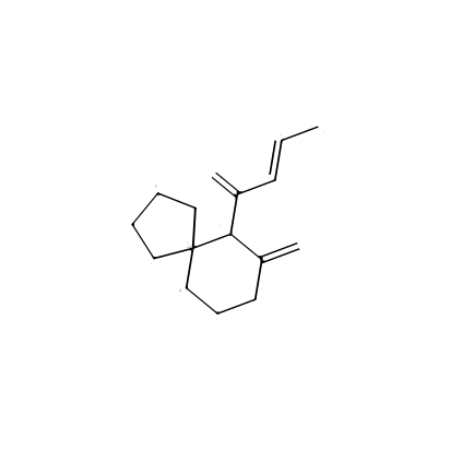 C=C1CCCC2(CCCC2)C1C(=O)C=CC